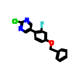 Fc1cc(OCc2ccccc2)ccc1-c1cnc(Cl)nc1